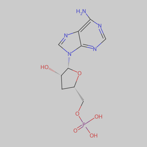 Nc1ncnc2c1ncn2[C@@H]1O[C@H](COP(=O)(O)O)C[C@@H]1O